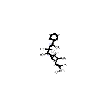 CC[C@]12/C(=C(/N)C(C)(C)/C=C(\C)c3ccccc3)C1N(/C=C(\C)[SiH2]C)C2C